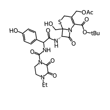 CCN1CCN(C(=O)NC(C(=O)N[C@H]2C(=O)N3C(C(=O)OC(C)(C)C)=C(COC(C)=O)CSC23CO)c2ccc(O)cc2)C(=O)C1=O